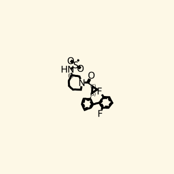 CS(=O)(=O)N[C@@H]1CCCCN(C(=O)[C@H]2C[C@@H]2c2ccccc2-c2c(F)cccc2F)C1